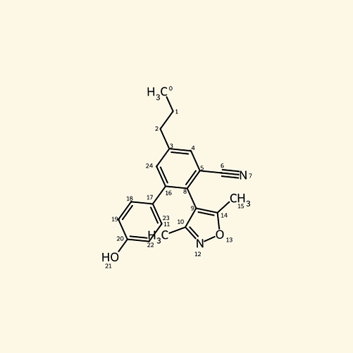 CCCc1cc(C#N)c(-c2c(C)noc2C)c(-c2ccc(O)cc2)c1